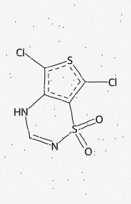 O=S1(=O)N=CNc2c(Cl)sc(Cl)c21